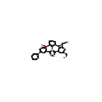 CC(C)Cc1cc(CC(C)C)cc(-c2nnc(-c3cccc(-c4ccccc4)c3)n2-c2c(CC(C)C)cccc2CC(C)C)c1